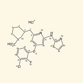 Cl.O=C(O)C1CCCC(Cc2cc(Oc3cccc(Cl)c3F)cc(Nc3nccs3)n2)C1